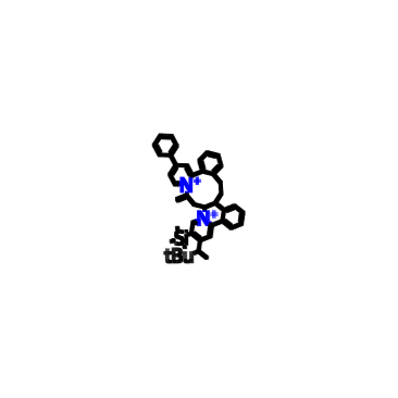 C=C1CC2C(CCc3ccccc3-c3cc(-c4ccccc4)cc[n+]31)c1ccccc1-c1cc(C(C)C(C)(C)C)c([Si](C)(C)C)c[n+]12